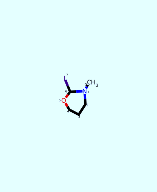 CN1CCCOC1I